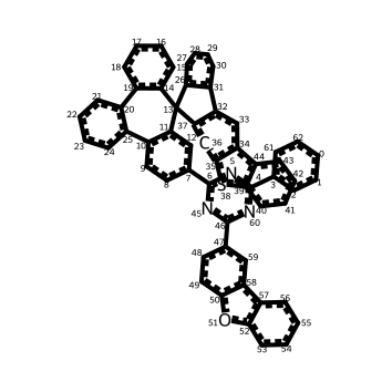 c1ccc(-c2nc(-c3ccc4c(c3)C3(c5ccccc5-c5ccccc5-4)c4ccccc4-c4cc5c(cc43)sc3ccccc35)nc(-c3ccc4oc5ccccc5c4c3)n2)cc1